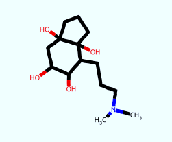 CN(C)CCCC1C(O)C(O)CC2(O)CCCC12O